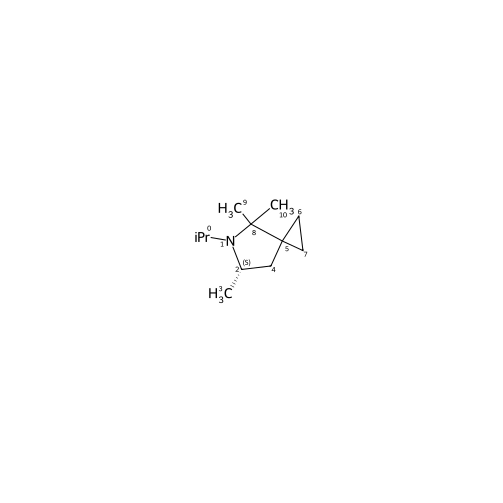 CC(C)N1[C@@H](C)CC2(CC2)C1(C)C